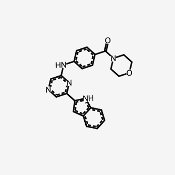 O=C(c1ccc(Nc2cncc(-c3cc4ccccc4[nH]3)n2)cc1)N1CCOCC1